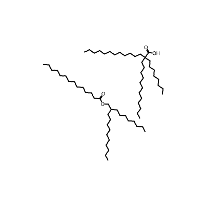 CCCCCCCCCCCCC(CCCCCCCC)(CCCCCCCCCCCC)C(=O)O.CCCCCCCCCCCCCC(=O)OCC(CCCCCCCC)CCCCCCCCCC